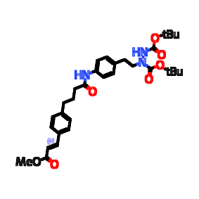 COC(=O)/C=C/c1ccc(CCCC(=O)Nc2ccc(CCN(NC(=O)OC(C)(C)C)C(=O)OC(C)(C)C)cc2)cc1